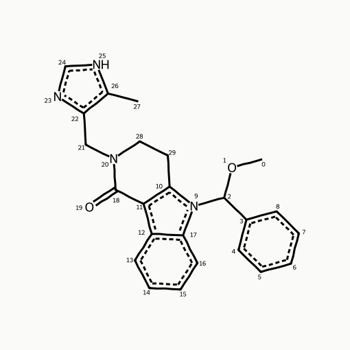 COC(c1ccccc1)n1c2c(c3ccccc31)C(=O)N(Cc1nc[nH]c1C)CC2